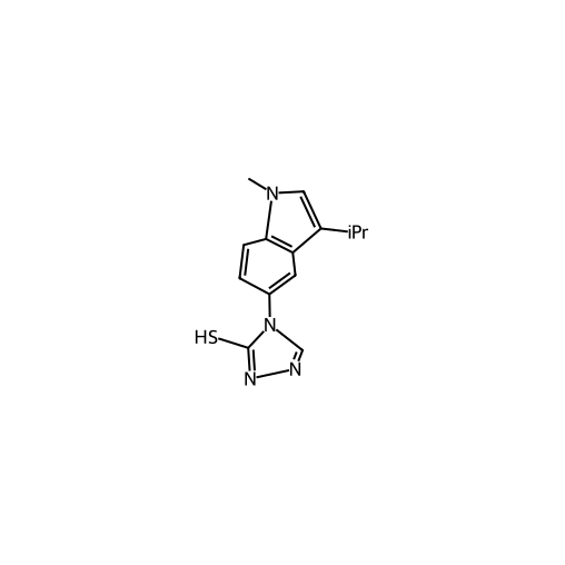 CC(C)c1cn(C)c2ccc(-n3cnnc3S)cc12